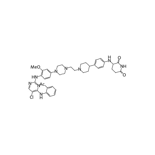 COc1cc(N2CCN(CCN3CCC(c4ccc(NC5CCC(=O)NC5=O)cc4)CC3)CC2)ccc1Nc1ncc(Cl)c(Nc2ccccc2C(C)=O)n1